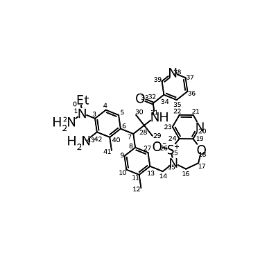 CCN(N)c1ccc(C(c2ccc(C)c(CN3CCOc4ncccc4[S+]3[O-])c2)C(C)(C)NC(=O)c2cccnc2)c(C)c1N